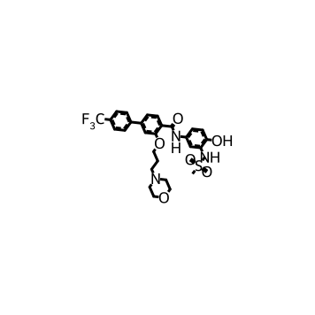 CS(=O)(=O)Nc1cc(NC(=O)c2ccc(-c3ccc(C(F)(F)F)cc3)cc2OCCCN2CCOCC2)ccc1O